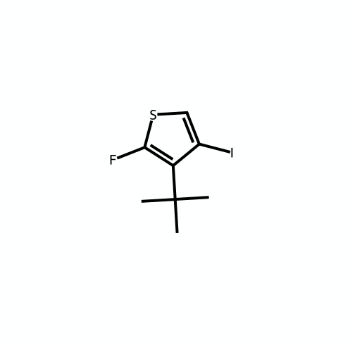 CC(C)(C)c1c(I)csc1F